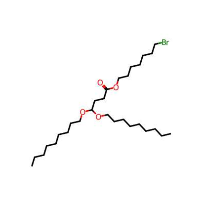 CCCCCCCCCOC(CCC(=O)OCCCCCCCBr)OCCCCCCCCC